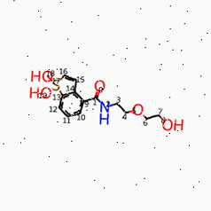 O=C(NCCOCCO)c1cccc2c1C=CS2(O)O